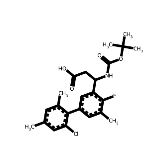 Cc1cc(C)c(-c2cc(C)c(F)c(C(CC(=O)O)NC(=O)OC(C)(C)C)c2)c(Cl)c1